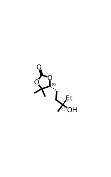 CC[C@](C)(O)CC[C@H]1OC(=O)OC1(C)C